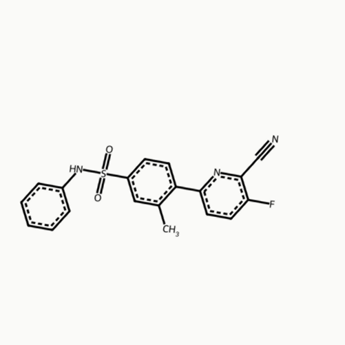 Cc1cc(S(=O)(=O)Nc2ccccc2)ccc1-c1ccc(F)c(C#N)n1